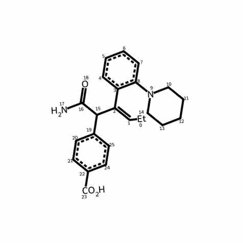 CC/C=C(\c1ccccc1N1CCCCC1)C(C(N)=O)c1ccc(C(=O)O)cc1